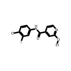 CCOc1cc(C(=O)Nc2ccc(Cl)c(I)c2)ccn1